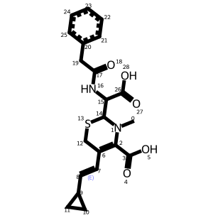 CN1C(C(=O)O)=C(/C=C/C2CC2)CSC1C(NC(=O)Cc1ccccc1)C(=O)O